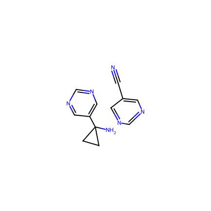 N#Cc1cncnc1.NC1(c2cncnc2)CC1